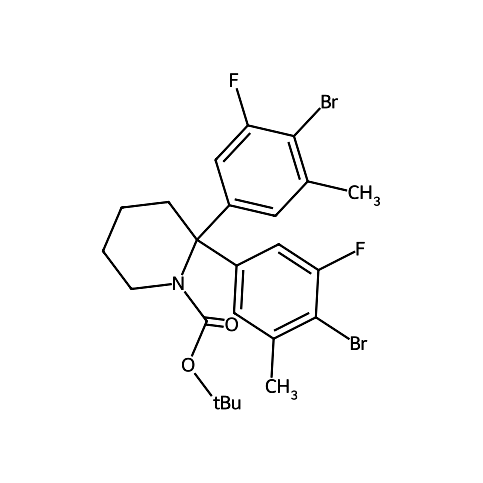 Cc1cc(C2(c3cc(C)c(Br)c(F)c3)CCCCN2C(=O)OC(C)(C)C)cc(F)c1Br